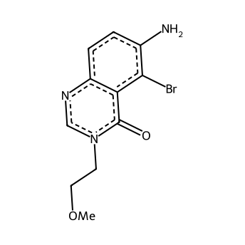 COCCn1cnc2ccc(N)c(Br)c2c1=O